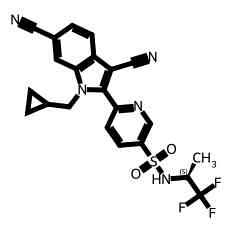 C[C@H](NS(=O)(=O)c1ccc(-c2c(C#N)c3ccc(C#N)cc3n2CC2CC2)nc1)C(F)(F)F